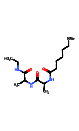 CNCCCCCC(=O)N[C@@H](C)C(=O)NC(C)C(=O)NCC(=O)O